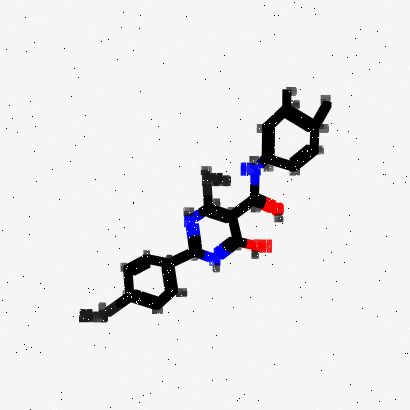 CSc1ccc(-c2nc(O)c(C(=O)Nc3ccc(C)c(C)c3)c(SC)n2)cc1